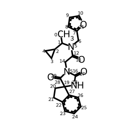 CC(C1CC1)N(Cc1ccco1)C(=O)CN1C(=O)NC2(CCc3ccccc32)C1=O